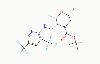 C[C@@H]1CN(C(=O)OC(C)(C)C)[C@H](CNc2ncc(C(F)(F)F)cc2C(F)(F)F)[C@H](C)O1